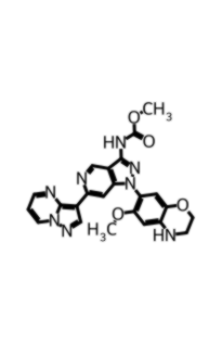 COC(=O)Nc1nn(-c2cc3c(cc2OC)NCCO3)c2cc(-c3cnn4cccnc34)ncc12